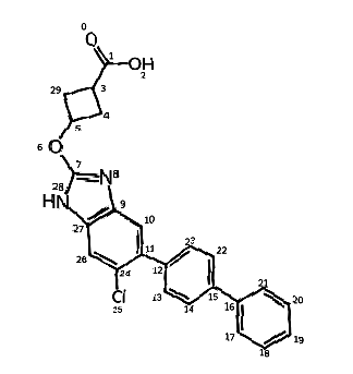 O=C(O)C1CC(Oc2nc3cc(-c4ccc(-c5ccccc5)cc4)c(Cl)cc3[nH]2)C1